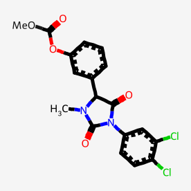 COC(=O)Oc1cccc(C2C(=O)N(c3ccc(Cl)c(Cl)c3)C(=O)N2C)c1